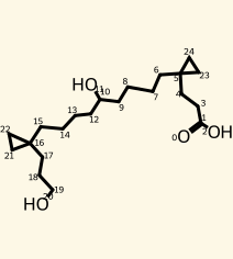 O=C(O)CCC1(CCCCC(O)CCCCC2(CCCO)CC2)CC1